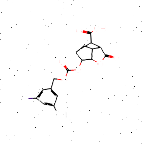 Cc1cc(I)cc(COC(=O)OC2C3CC4C2OC(=O)C4C3C(=O)O)c1